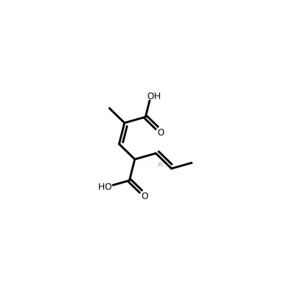 C/C=C/C(C=C(C)C(=O)O)C(=O)O